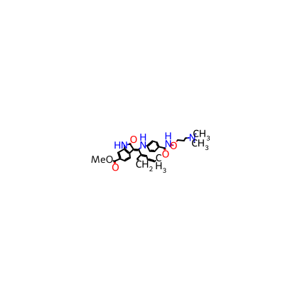 C=CC(=C\C=C/C)/C(Nc1ccc(C(=O)NOCCCN(C)C)cc1)=C1/C(=O)Nc2cc(C(=O)OC)ccc21